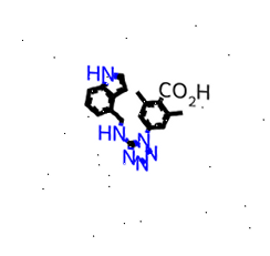 Cc1cc(-n2nnnc2NCc2cccc3[nH]ccc23)cc(C)c1C(=O)O